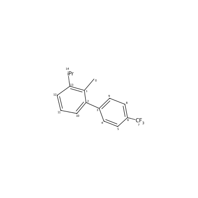 Cc1c(-c2ccc(C(F)(F)F)cc2)cccc1C(C)C